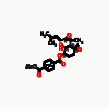 COC(=O)C12CCC(C(=O)O[C@@H]3CC[C@]4(CO4)[C@@H](C4(C)O[C@@H]4CC=C(C)C)[C@@H]3O)(CC1)CC2